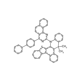 CC1(C)c2ccccc2N(c2nc(-c3ccc(-c4ccccc4)cc3)c3ccc4ccccc4c3n2)c2c1c1ccccc1c1c2sc2ccccc21